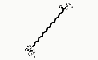 COC(=O)CCCCCCCCCCCCCCCNS(C)(=O)=O